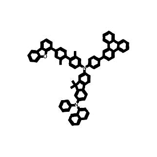 Cc1cc(-c2cccc3c2oc2ccccc23)ccc1-c1ccc(N(c2ccc(-c3ccc4c5ccccc5c5ccccc5c4c3)cc2)c2ccc3c(c2)C(C)(C)c2cc(N(c4ccccc4)c4cccc5ccccc45)ccc2-3)cc1C